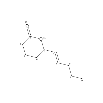 CCCC=CC1CCCC(=O)O1